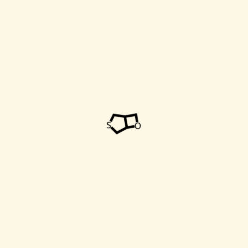 C1OC2CSCC12